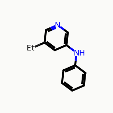 CCc1cncc(Nc2ccccc2)c1